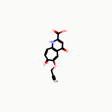 C#CCOc1cc2c(=O)cc(C(=O)O)[nH]c2ccc1=O